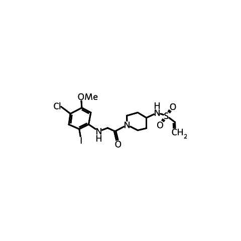 C=CS(=O)(=O)NC1CCN(C(=O)CNc2cc(OC)c(Cl)cc2I)CC1